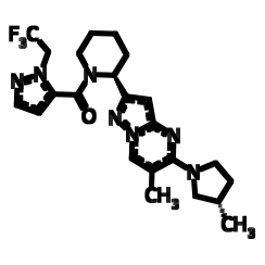 Cc1cn2nc([C@@H]3CCCCN3C(=O)c3ccnn3CC(F)(F)F)cc2nc1N1CC[C@H](C)C1